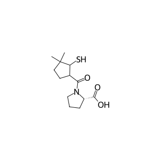 CC1(C)CCC(C(=O)N2CCC[C@H]2C(=O)O)C1S